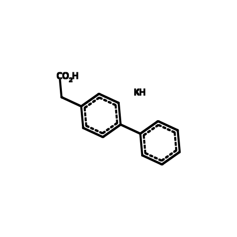 O=C(O)Cc1ccc(-c2ccccc2)cc1.[KH]